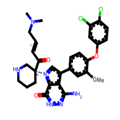 COc1cc(-c2cn([C@]3(C(=O)/C=C/CN(C)C)CCCNC3)c3c(=O)[nH]nc(N)c23)ccc1Oc1ccc(Cl)c(Cl)c1